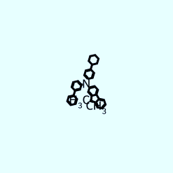 CC1(C)c2ccccc2-c2ccc(N(c3ccc(C4CCCCC4)cc3)c3cccc(-c4ccccc4)c3)cc21